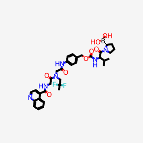 CC(C)C(NC(=O)OCc1ccc(NC(=O)CN(CC(C)(F)F)C(=O)CNC(=O)c2ccnc3ccccc23)cc1)C(=O)N1CCC[C@H]1B(O)O